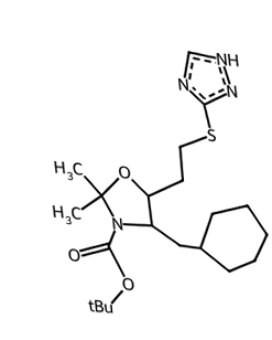 CC(C)(C)OC(=O)N1C(CC2CCCCC2)C(CCSc2nc[nH]n2)OC1(C)C